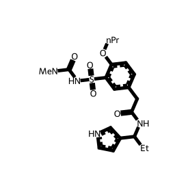 CCCOc1ccc(CC(=O)NC(CC)c2cc[nH]c2)cc1S(=O)(=O)NC(=O)NC